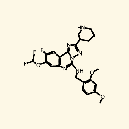 COc1ccc(CNc2nc3cc(OC(F)F)c(F)cc3c3nc(C4CCCNC4)nn23)c(OC)c1